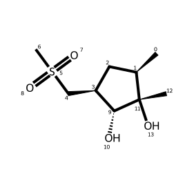 C[C@@H]1C[C@H](CS(C)(=O)=O)[C@@H](O)[C@@]1(C)O